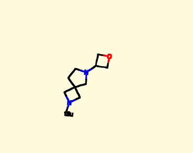 CC(C)(C)N1CC2(CCN(C3COC3)C2)C1